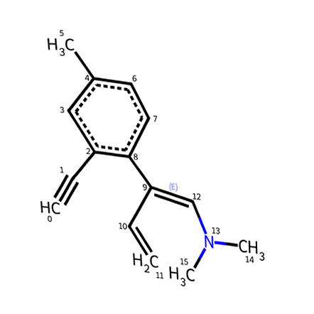 C#Cc1cc(C)ccc1/C(C=C)=C/N(C)C